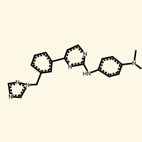 CN(C)c1ccc(Nc2nccc(-c3cccc(Cn4cncn4)c3)n2)cc1